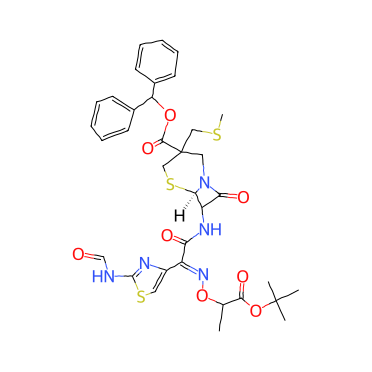 CSCC1(C(=O)OC(c2ccccc2)c2ccccc2)CS[C@@H]2C(NC(=O)C(=NOC(C)C(=O)OC(C)(C)C)c3csc(NC=O)n3)C(=O)N2C1